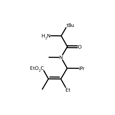 CCOC(=O)C(C)=C(CC)C(C(C)C)N(C)C(=O)C(N)C(C)(C)C